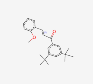 COc1ccccc1/C=C/C(=O)c1cc(C(C)(C)C)cc(C(C)(C)C)c1